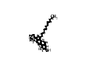 CCCCCCCCCCCCC1=C2C3=C(C=C[C@]2(C)C(n2ccnn2)=C1)[C@]1(C)CC=C(O)C=C1C=C3